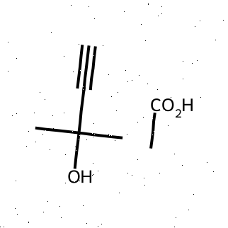 C#CC(C)(C)O.CC(=O)O